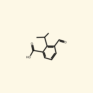 CC(C)c1c(C=O)cccc1C(=O)O